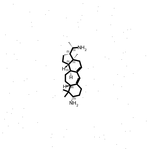 C[C@H](N)[C@H]1CC[C@H]2[C@@H]3CC[C@@H]4C(=CC3=CC[C@]12C)CC[C@H](N)C4(C)C